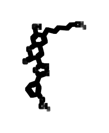 CCCCCCc1cc2cc(-c3nnc(-c4cccc(OC)c4)o3)c(=O)oc2cc1O